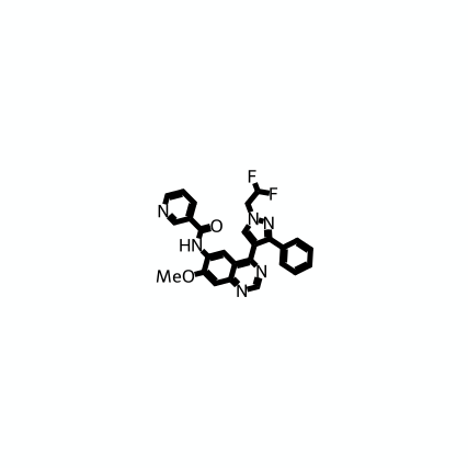 COc1cc2ncnc(-c3cn(CC(F)F)nc3-c3ccccc3)c2cc1NC(=O)c1cccnc1